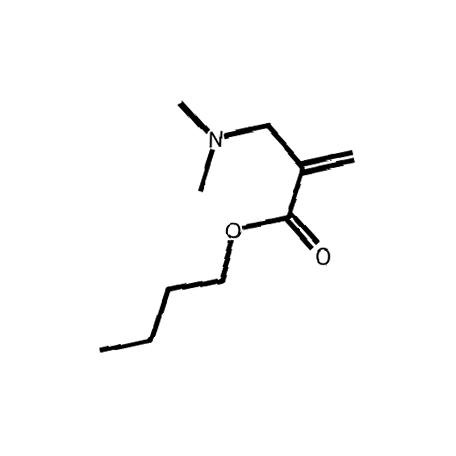 C=C(CN(C)C)C(=O)OCCCC